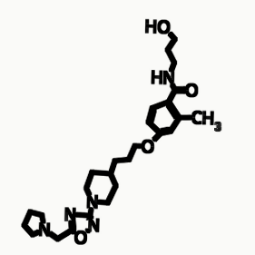 Cc1cc(OCCCC2CCN(c3noc(CN4CCCC4)n3)CC2)ccc1C(=O)NCCCO